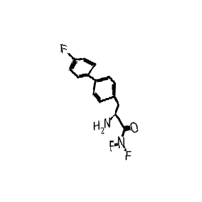 N[C@@H](Cc1ccc(-c2ccc(F)cc2)cc1)C(=O)N(F)F